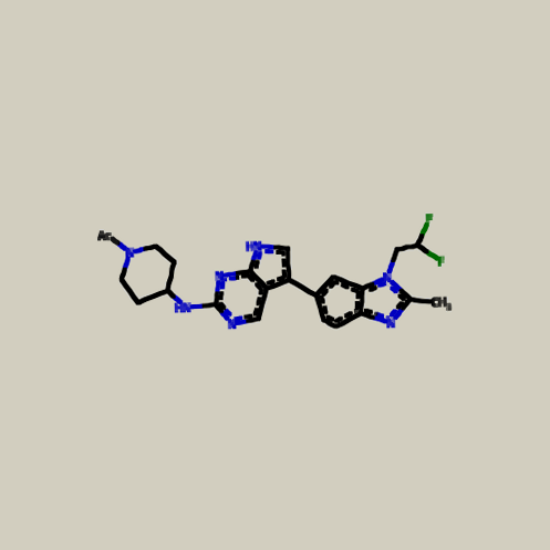 CC(=O)N1CCC(Nc2ncc3c(-c4ccc5nc(C)n(CC(F)F)c5c4)c[nH]c3n2)CC1